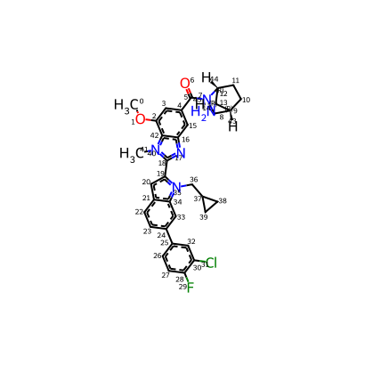 COc1cc(C(=O)N2C[C@H]3CC[C@@H]2[C@@H]3N)cc2nc(-c3cc4ccc(-c5ccc(F)c(Cl)c5)cc4n3CC3CC3)n(C)c12